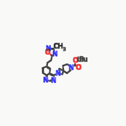 Cc1noc(CCc2ccc3ncnc(N4CC5(CCN(C(=O)OC(C)(C)C)CC5)C4)c3c2)n1